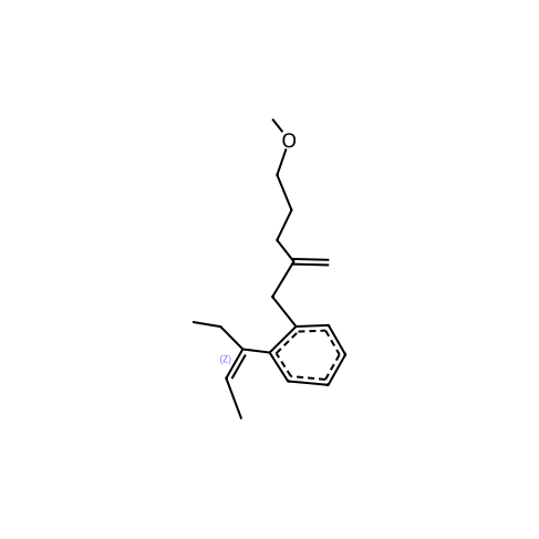 C=C(CCCOC)Cc1ccccc1/C(=C\C)CC